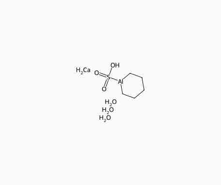 O.O.O.O=[S](=O)(O)[Al]1[CH2]CCC[CH2]1.[CaH2]